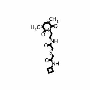 C[C@@H]1C[C@H](C)C(=O)N(CCNC(=O)CSCC(=O)NC2CCC2)C1=O